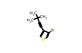 CC(C)(C)C#Cc1cscc1Br